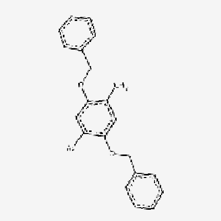 CC(=O)c1cc(OCc2ccccc2)c(C)cc1OCc1ccccc1